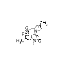 Cc1cc2c3c(nc(=O)n2I)N2CCN(C)CC2CS(=O)(=O)c3c1F